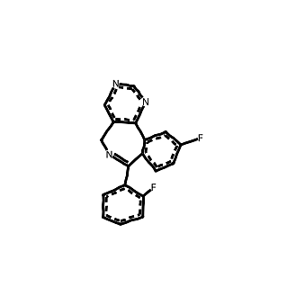 Fc1ccc2c(c1)-c1ncncc1CN=C2c1ccccc1F